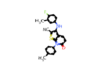 Cc1ccc(-n2c(=O)ccc3c(Nc4ccc(F)c(C)c4)c(C#N)sc32)cc1